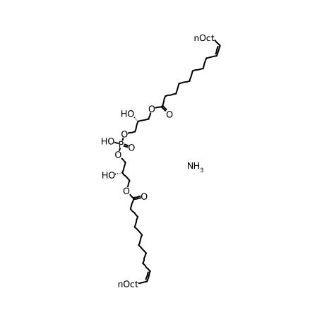 CCCCCCCC/C=C\CCCCCCCC(=O)OC[C@@H](O)COP(=O)(O)OC[C@@H](O)COC(=O)CCCCCCC/C=C\CCCCCCCC.N